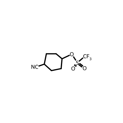 N#CC1CCC(OS(=O)(=O)C(F)(F)F)CC1